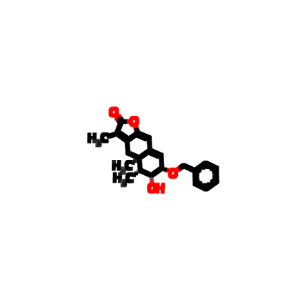 CC1=C2C[C@@]3(C)C(=C[C@H](OCc4ccccc4)[C@H](O)[C@@H]3C)C=C2OC1=O